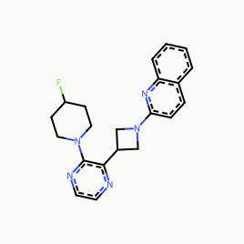 FC1CCN(c2nccnc2C2CN(c3ccc4ccccc4n3)C2)CC1